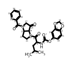 CC(C)CC(NC(=O)Oc1ccc2c(c1)OCO2)C(=O)N1CCC2C1C(=O)CN2C(=O)c1ccccn1